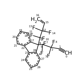 C#CC(F)(F)C(F)(F)C1(C(F)(F)C(F)(F)C=C)c2ccccc2-c2ccccc21